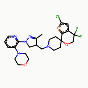 CC1=NN(c2ncccc2N2CCOCC2)CC1CN1CCC2(CC1)OCC(F)(F)c1cc(Cl)sc12